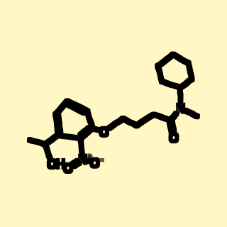 CC(O)c1cccc(OCCCC(=O)N(C)C2CCCCC2)c1[N+](=O)[O-]